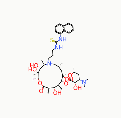 C[C@H]1CN(CCCNC(=S)Nc2cccc3ccccc23)[C@H](C)[C@@H](O)[C@](C)(O)[C@@H](I)OC(=O)[C@H](C)[C@@H](O)[C@H](C)[C@@H](O[C@@H]2O[C@H](C)C[C@H](N(C)C)[C@H]2O)[C@](C)(O)C1